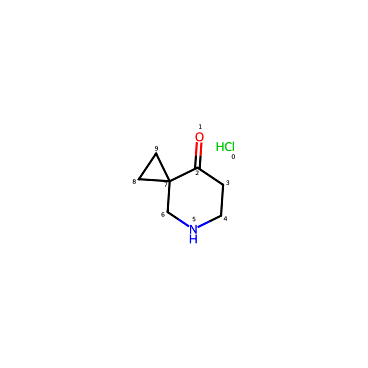 Cl.O=C1CCNCC12CC2